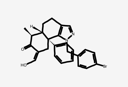 C[C@@H]1C(=O)C(=CO)C[C@]2(c3ccccc3)c3c(cnn3Cc3ccc(Br)cc3)CC[C@@H]12